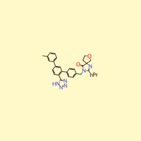 CCCC1=NC2(CCOC2)C(=O)N1Cc1ccc(-c2cc(-c3cccc(C)c3)ccc2-c2nnn[nH]2)cc1